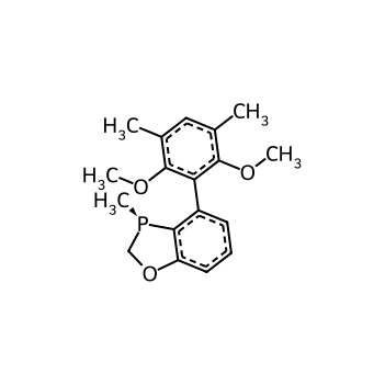 COc1c(C)cc(C)c(OC)c1-c1cccc2c1[P@](C)CO2